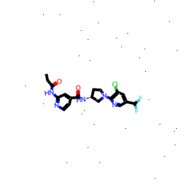 CCC(=O)Nc1cc(C(=O)N[C@@H]2CCN(c3ncc(C(F)F)cc3Cl)C2)ccn1